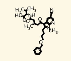 CC(C)[C@H](NC(=O)C[C@@H](C)CC(=O)c1c(CCCCOCc2ccccc2)n(C)c2ncc(C#N)cc12)C(=O)O